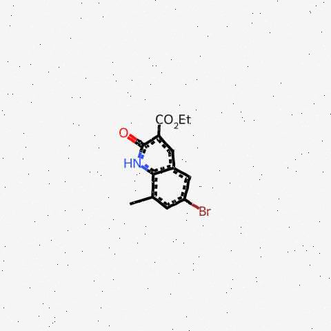 CCOC(=O)c1cc2cc(Br)cc(C)c2[nH]c1=O